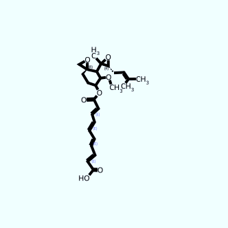 COC1C(OC(=O)/C=C/C=C/C=C/C=C/C(=O)O)CC[C@]2(CO2)C1C1(C)O[C@@H]1CC=C(C)C